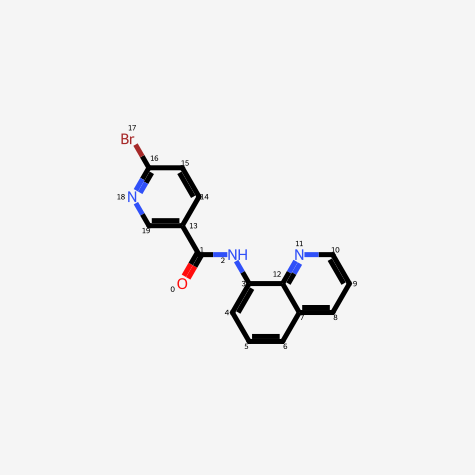 O=C(Nc1cccc2cccnc12)c1ccc(Br)nc1